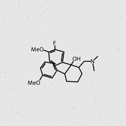 COc1cccc(C2CCCC(CN(C)C)C2(O)c2ccc(OC)c(F)c2)c1